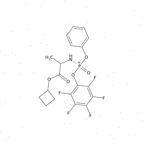 CC(N[P@@](=O)(Oc1ccccc1)Oc1c(F)c(F)c(F)c(F)c1F)C(=O)OC1CCC1